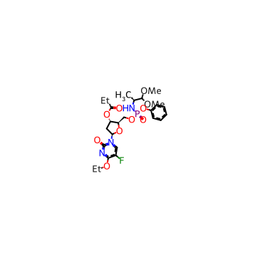 CCOc1nc(=O)n([C@H]2C[C@H](OC(=O)CC)[C@@H](COP(=O)(N[C@@H](C)C(OC)OC)Oc3ccccc3)O2)cc1F